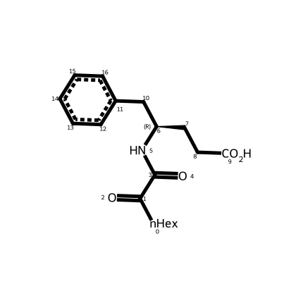 CCCCCCC(=O)C(=O)N[C@H](CCC(=O)O)Cc1ccccc1